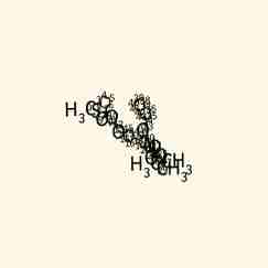 CSc1ccccc1C(=O)OCCOc1ccc(C2CCN(OC(=O)OC(C)(C)C)CC2OCc2ccc3ccccc3c2)cc1